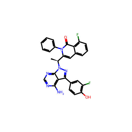 C[C@@H](c1cc2cccc(F)c2c(=O)n1-c1ccccc1)n1nc(-c2ccc(O)c(F)c2)c2c(N)ncnc21